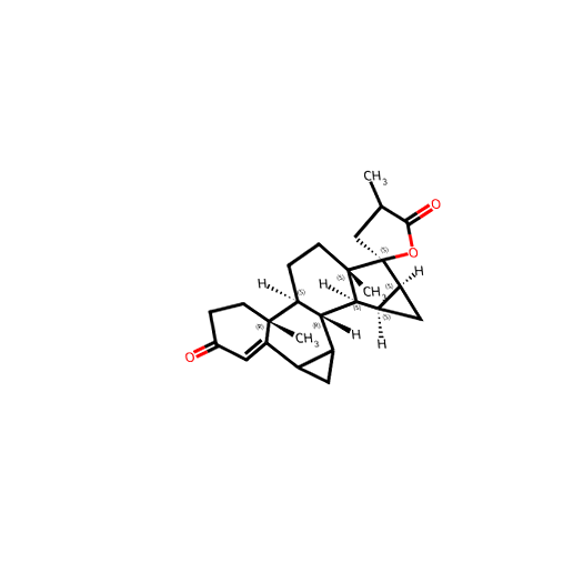 CC1C[C@]2(OC1=O)[C@H]1C[C@H]1[C@H]1[C@@H]3C4CC4C4=CC(=O)CC[C@]4(C)[C@H]3CC[C@@]12C